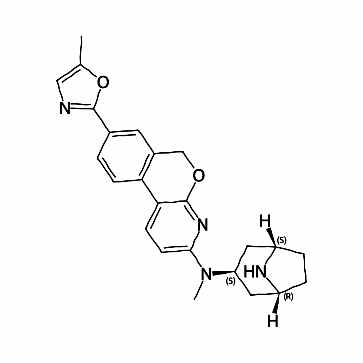 Cc1cnc(-c2ccc3c(c2)COc2nc(N(C)[C@@H]4C[C@H]5CC[C@@H](C4)N5)ccc2-3)o1